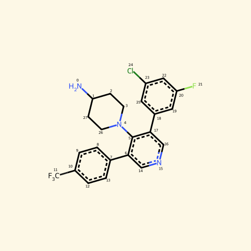 NC1CCN(c2c(-c3ccc(C(F)(F)F)cc3)cncc2-c2cc(F)cc(Cl)c2)CC1